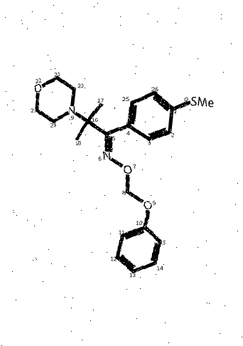 CSc1ccc(/C(=N\OCOc2ccccc2)C(C)(C)N2CCOCC2)cc1